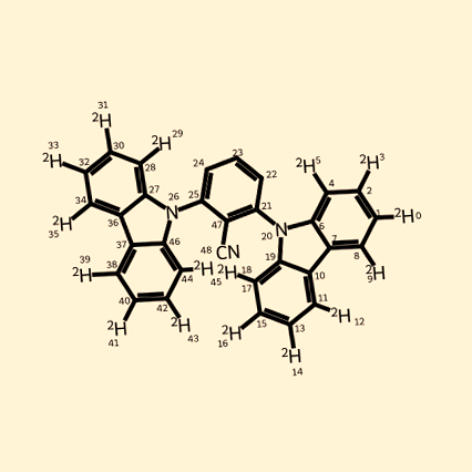 [2H]c1c([2H])c([2H])c2c(c1[2H])c1c([2H])c([2H])c([2H])c([2H])c1n2-c1cccc(-n2c3c([2H])c([2H])c([2H])c([2H])c3c3c([2H])c([2H])c([2H])c([2H])c32)c1C#N